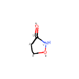 O=C1[C]CON1